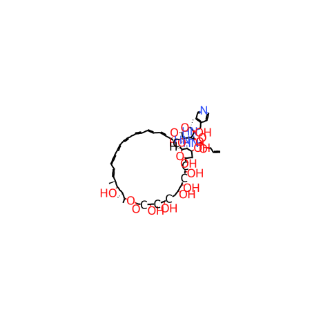 C=CCOC(=O)N[C@@H]1[C@H](O)[C@H](O[C@H]2/C=C/C=C/C=C/C=C/C=C/C=C/C=C/[C@H](C)[C@@H](O)[C@@H](C)C(C)OC(=O)C[C@H](O)C[C@H](O)CC[C@@H](O)[C@H](O)C[C@H](O)C[C@]3(O)C[C@H](O)[C@@H](NC(=O)NCc4ccncc4)[C@H](C2)O3)O[C@H](C)[C@H]1O